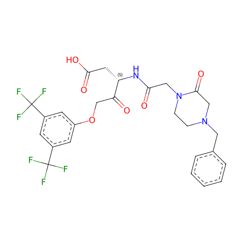 O=C(O)C[C@H](NC(=O)CN1CCN(Cc2ccccc2)CC1=O)C(=O)COc1cc(C(F)(F)F)cc(C(F)(F)F)c1